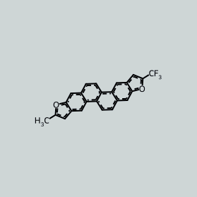 Cc1cc2cc3c(ccc4c5cc6cc(C(F)(F)F)oc6cc5ccc34)cc2o1